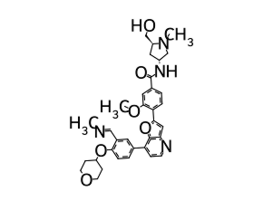 C/N=C/c1cc(-c2ccnc3cc(-c4ccc(C(=O)N[C@@H]5C[C@@H](CO)N(C)C5)cc4OC)oc23)ccc1OC1CCOCC1